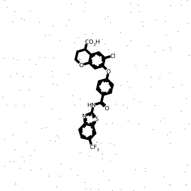 O=C(Nc1nc2ccc(C(F)(F)F)cc2s1)c1ccc(Oc2cc3c(cc2Cl)C(C(=O)O)CCO3)cc1